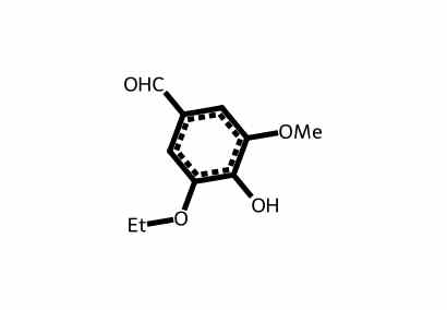 CCOc1cc(C=O)cc(OC)c1O